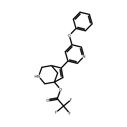 O=C(OC12C=C(c3cncc(Oc4ccccc4)c3)C(CNC1)C2)C(F)(F)F